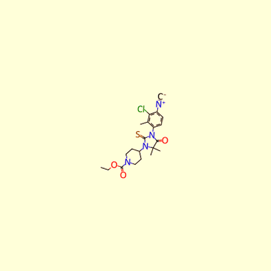 [C-]#[N+]c1ccc(N2C(=O)C(C)(C)N(C3CCN(C(=O)OCC)CC3)C2=S)c(C)c1Cl